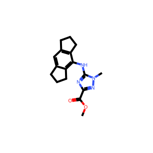 COC(=O)c1nc(Nc2c3c(cc4c2CCC4)CCC3)n(C)n1